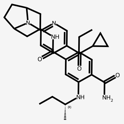 CCc1cc(C(N)=O)c(N[C@H](C)CC)cc1C(=O)NC1CC2CCC(C1)N2c1ccc(C(=O)C2CC2)cn1